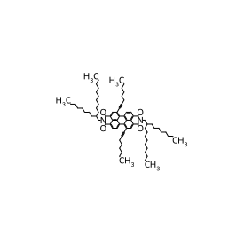 CCCCCCC#Cc1cc2c3c(ccc4c5c(C#CCCCCCC)cc6c7c(ccc(c1c34)c75)C(=O)N(CC(CCCCCCCC)CCCCCCCCCC)C6=O)C(=O)N(CC(CCCCCCCC)CCCCCCCCCC)C2=O